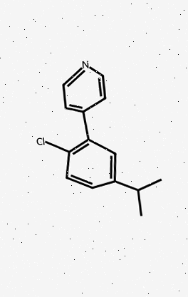 CC(C)c1ccc(Cl)c(-c2ccncc2)c1